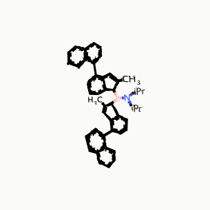 CC1=Cc2c(-c3cccc4ccccc34)cccc2C1B(C1C(C)=Cc2c(-c3cccc4ccccc34)cccc21)N(C(C)C)C(C)C